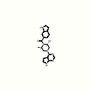 CC[C@@H]1CN(c2ncnc3[nH]ccc23)C[C@@H](C)N1C(=O)c1ccc2cc[nH]c2c1